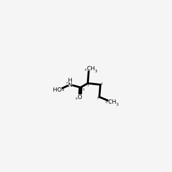 CCCC(C)C(=O)NO